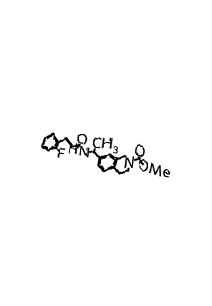 COC(=O)N1CCc2ccc(C(C)NC(=O)C=Cc3ccccc3F)cc2C1